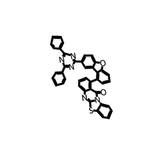 O=c1c2c(-c3cccc4oc5ccc(-c6nc(-c7ccccc7)nc(-c7ccccc7)n6)cc5c34)cccc2nc2sc3ccccc3n12